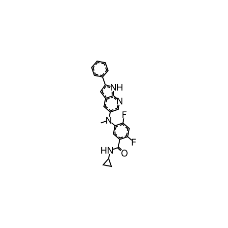 CN(c1cnc2[nH]c(-c3ccccc3)cc2c1)c1cc(C(=O)NC2CC2)c(F)cc1F